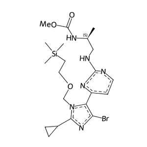 COC(=O)N[C@@H](C)CNc1nccc(-c2c(Br)nc(C3CC3)n2COCC[Si](C)(C)C)n1